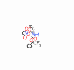 CC(C)C[C@H](NCC(=O)O[C@@H](c1ccccc1)C(F)(F)F)C(=O)ON1C(=O)CCC1=O